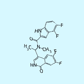 CC(c1c[nH]c(=O)c2cc(F)c(F)cc12)N(C)C(=O)c1cc2c(F)c(F)ccc2[nH]1